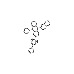 c1ccc(-c2cnc(-c3ccc4c(-c5ccc6ccccc6c5)c5ccccc5c(-c5ccccc5)c4c3)nc2)cc1